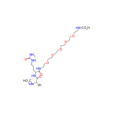 CC(C)C(NC(=O)O)C(=O)NC(CCCNC(N)=O)C(=O)NCCOCCOCCOCCOCCOCCNC(=O)O